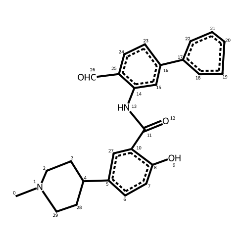 CN1CCC(c2ccc(O)c(C(=O)Nc3cc(-c4ccccc4)ccc3C=O)c2)CC1